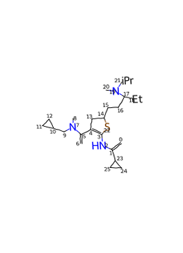 C=C(NC1=C(C(=C)N(C)CC2CC2)CC(CCC(CC)N(C)C(C)C)S1)C1CC1